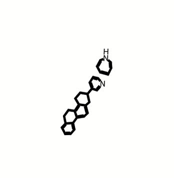 C1=CC=CNC=C1.c1cncc(C2CCc3c(ccc4c3CCc3ccccc3-4)C2)c1